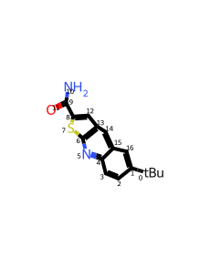 CC(C)(C)c1ccc2nc3sc(C(N)=O)cc3cc2c1